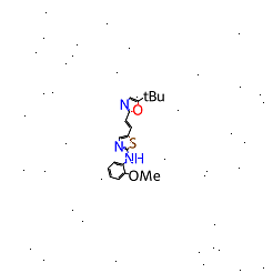 COc1ccccc1Nc1ncc(/C=C/c2ncc(C(C)(C)C)o2)s1